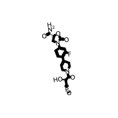 NC(=O)[C@H]1CN(c2ccc(C3=CCN(C(=O)[C@H](O)C#P=O)CC3)c(F)c2)C(=O)O1